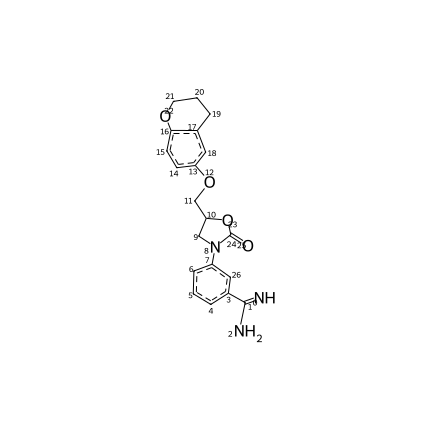 N=C(N)c1cccc(N2CC(COc3ccc4c(c3)CCCO4)OC2=O)c1